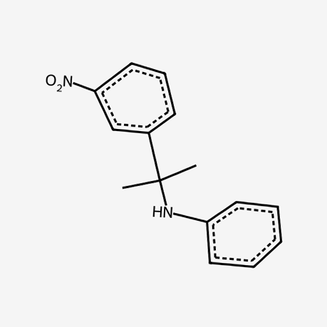 CC(C)(Nc1ccccc1)c1cccc([N+](=O)[O-])c1